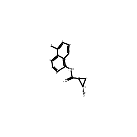 Cc1cccc2c(NC(=O)C3C[C@H]3C(C)C)cccc12